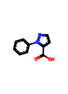 O=C(O)c1ccnn1-c1ccccc1